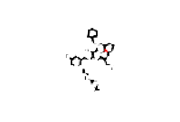 COC(=O)c1cnn2c(N(Cc3ccccc3)Cc3ccccc3)c(Br)c(NCc3cc(F)cnc3OCCNC(=O)OC(C)(C)C)nc12